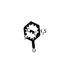 O=c1sc2ccc1cc2.S